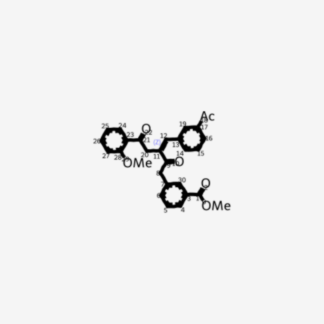 COC(=O)c1cccc(CC(=O)/C(=C\c2cccc(C(C)=O)c2)CC(=O)c2ccccc2OC)c1